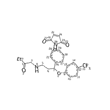 CCC(=O)CNCCC(Oc1ccc(C(F)(F)F)cc1)c1ccccc1.O=C1C=CC(=O)N1